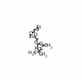 [CH2]COCC(OCC)OCCOC(COC(=C)C)OC(=C)C